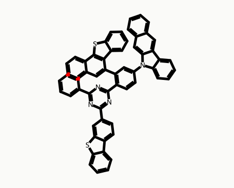 c1ccc(-c2nc(-c3ccc4c(c3)sc3ccccc34)nc(-c3ccc(-n4c5ccccc5c5cc6ccccc6cc54)cc3-c3cc4ccccc4c4sc5ccccc5c34)n2)cc1